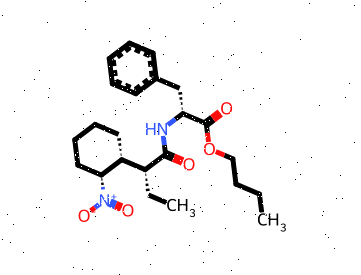 CCCCOC(=O)[C@@H](Cc1ccccc1)NC(=O)[C@H](CC)[C@H]1CCCC[C@H]1[N+](=O)[O-]